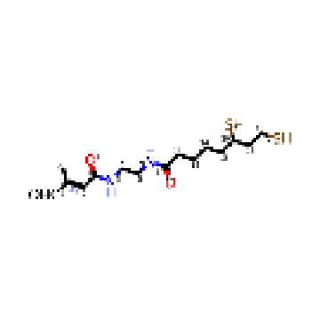 C/C(C=O)=C\C(=O)NCCNC(=O)CCCCC(S)CCS